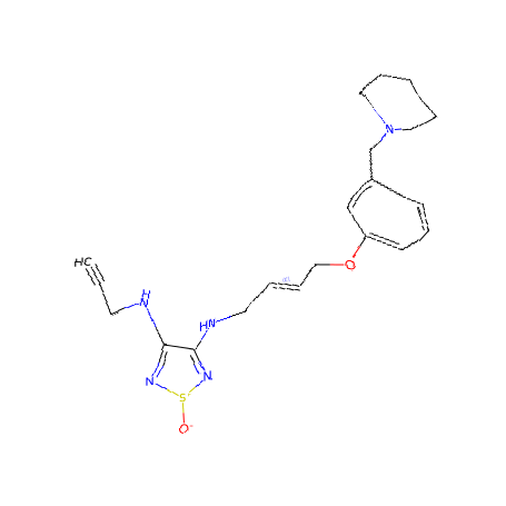 C#CCNc1n[s+]([O-])nc1NC/C=C/COc1cccc(CN2CCCCC2)c1